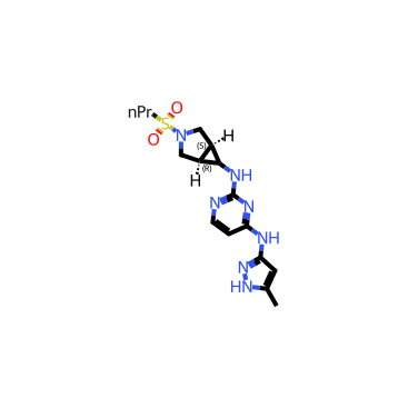 CCCS(=O)(=O)N1C[C@@H]2C(Nc3nccc(Nc4cc(C)[nH]n4)n3)[C@@H]2C1